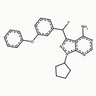 Nc1ncnc2c1c(C(F)c1cccc(Oc3ccccc3)c1)nn2C1CCCC1